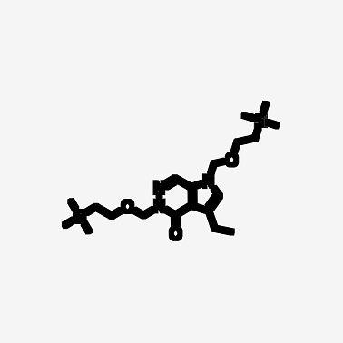 CCc1cn(COCC[Si](C)(C)C)c2cnn(COCC[Si](C)(C)C)c(=O)c12